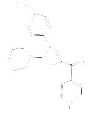 CC(=O)Nc1ccc(-c2cc(C(=O)c3ccc(Cl)cc3)sc2N2CCOCC2)cc1